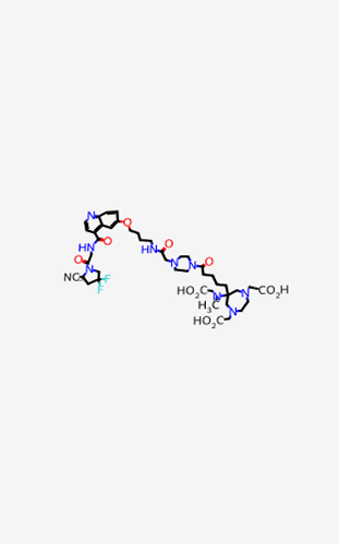 CN(CC(=O)O)C1(CCCCC(=O)N2CCN(CC(=O)NCCCCOc3ccc4nccc(C(=O)NCC(=O)N5CC(F)(F)C[C@H]5C#N)c4c3)CC2)CN(CC(=O)O)CCN(CC(=O)O)C1